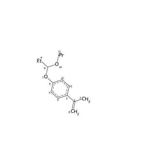 C=C(C)c1ccc(OC(CC)OC(C)C)cc1